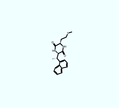 CSCC[C@H]1NC(=O)[C@@H]([C@@H](C)c2cccc3ccccc23)NC1=O